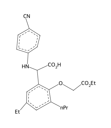 CCCc1cc(CC)cc(C(Nc2ccc(C#N)cc2)C(=O)O)c1OCC(=O)OCC